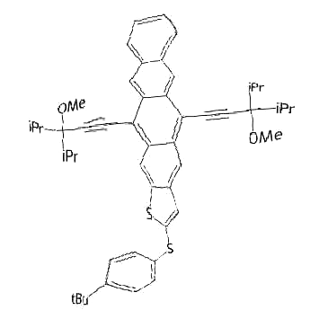 COC(C#Cc1c2cc3ccccc3cc2c(C#CC(OC)(C(C)C)C(C)C)c2cc3sc(Sc4ccc(C(C)(C)C)cc4)cc3cc12)(C(C)C)C(C)C